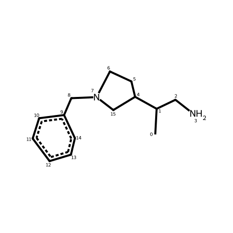 CC(CN)C1CCN(Cc2ccccc2)C1